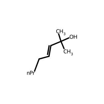 CCCCC=CC(C)(C)O